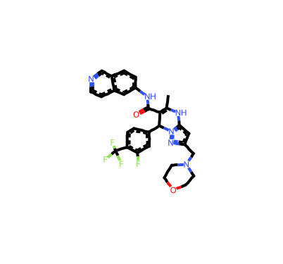 CC1=C(C(=O)Nc2ccc3cnccc3c2)C(c2ccc(C(F)(F)F)c(F)c2)n2nc(CN3CCOCC3)cc2N1